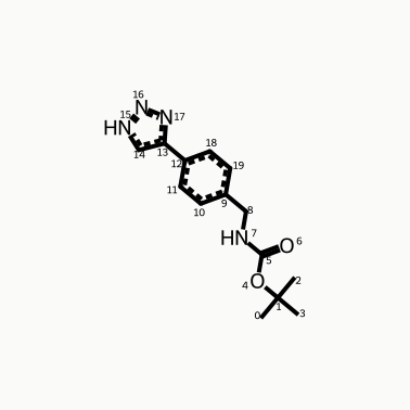 CC(C)(C)OC(=O)NCc1ccc(-c2c[nH]nn2)cc1